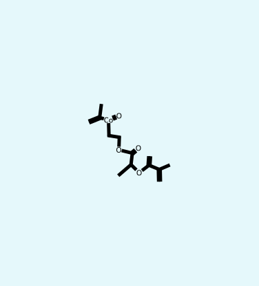 C=C(C)C(=C)OC(C)C(=O)OC[CH2][Co](=[O])[C](=C)C